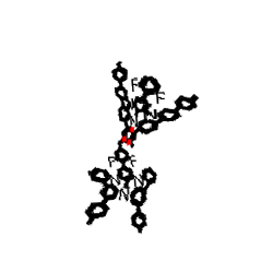 Cc1ccc(-c2ccc3c(c2)c2ccccc2n3-c2cc(-c3c(F)cc(Cc4ccc(-c5ccc6c7ccc(-c8ccc(C)cc8)cc7n(-c7cc(-c8c(F)cccc8F)cc(-n8c9cc(-c%10ccc(C)cc%10)ccc9c9ccc(-c%10ccc(C)cc%10)cc98)c7C#N)c6c5)cc4)cc3F)cc(-n3c4ccccc4c4cc(-c5ccc(C)cc5)ccc43)c2C#N)cc1